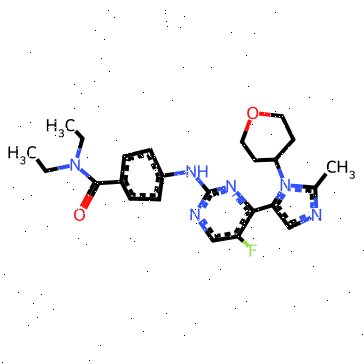 CCN(CC)C(=O)c1ccc(Nc2ncc(F)c(-c3cnc(C)n3C3CCOCC3)n2)cc1